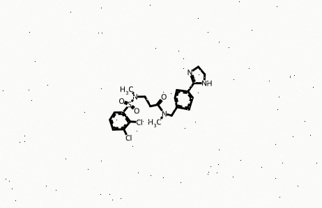 CN(Cc1ccc(C2=NCCN2)cc1)C(=O)CCN(C)S(=O)(=O)c1cccc(Cl)c1Cl